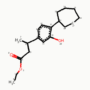 CCOC(=O)CC(C)c1ccc(C2CCCCCC2)c(O)c1